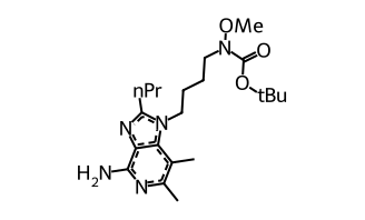 CCCc1nc2c(N)nc(C)c(C)c2n1CCCCN(OC)C(=O)OC(C)(C)C